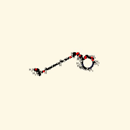 CO[C@H]1C[C@@H]2CC[C@@H](C)[C@@](O)(O2)C(=O)C(=O)N2CCCC[C@H]2C(=O)O[C@H]([C@H](N)C[C@@H]2CC[C@H](n3cc(-c4cccc(C(=O)NCCOCCOCCOCCC(=O)NCCOCCOCCOCCOCCC(=O)NCCCCn5nc(-c6ccc7oc(N)nc7c6)c6c(N)ncnc65)c4)nn3)[C@H](OC)C2)CC(=O)[C@H](C)/C=C(\C)[C@@H](O)[C@@H](O)C(=O)[C@H](C)C[C@H](C)/C=C/C=C/C=C/1C